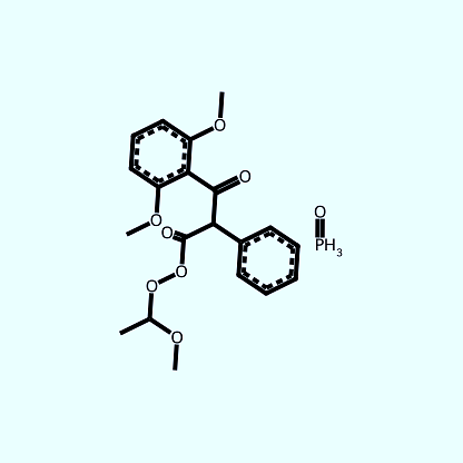 COc1cccc(OC)c1C(=O)C(C(=O)OOC(C)OC)c1ccccc1.O=[PH3]